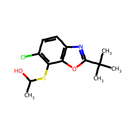 CC(O)Sc1c(Cl)ccc2nc(C(C)(C)C)oc12